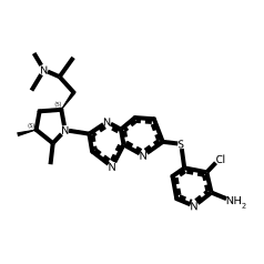 CC(C[C@@H]1C[C@H](C)C(C)N1c1cnc2nc(Sc3ccnc(N)c3Cl)ccc2n1)N(C)C